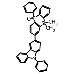 C[Si]1(C)c2ccccc2P(=O)(c2ccccc2)c2ccc(-c3ccc4c(c3)c3ccccc3n4-c3ccccc3)cc21